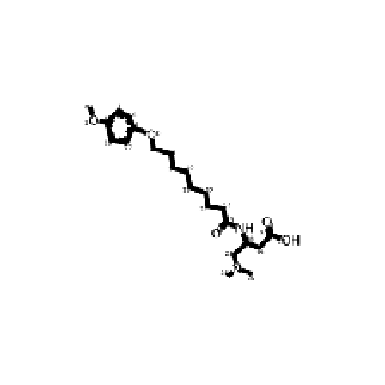 COc1ccc(OCCCCCCCCC(=O)NC(CC(=O)O)CN(C)C)cc1